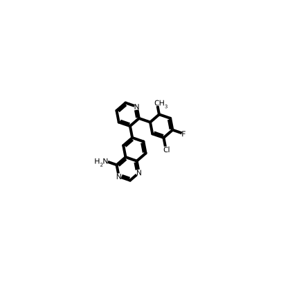 CC1C=C(F)C(Cl)=CC1c1ncccc1-c1ccc2ncnc(N)c2c1